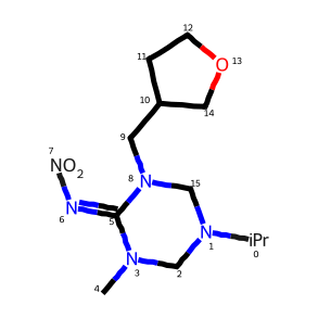 CC(C)N1CN(C)C(=N[N+](=O)[O-])N(CC2CCOC2)C1